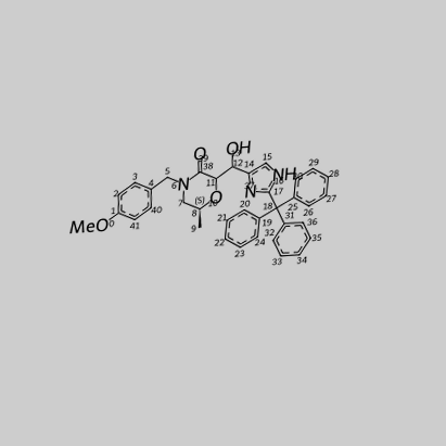 COc1ccc(CN2C[C@H](C)OC(C(O)c3c[nH]c(C(c4ccccc4)(c4ccccc4)c4ccccc4)n3)C2=O)cc1